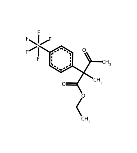 CCOC(=O)C(C)(C(C)=O)c1ccc(S(F)(F)(F)(F)F)cc1